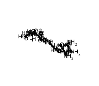 NC(=O)CN1CCN(CC(N)=O)CCN(CC(N)=O)C(Cc2ccc(NC(=S)CCCCCC(=O)NCc3ccc(C(=O)N(CCCC[C@@H](NC(=O)N[C@H](CCC(=O)O)C(=O)O)C(=O)O)Cc4ccc(I)cc4)cc3)cc2)CN(CC(N)=O)CC1